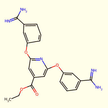 CCOC(=O)c1cc(Oc2cccc(C(=N)N)c2)nc(Oc2cccc(C(=N)N)c2)c1